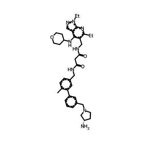 CCc1nc2c(cnn2CC)c(NC2CCOCC2)c1CNC(=O)CC(=O)NCc1ccc(C)c(-c2cccc(CN3CC[C@H](N)C3)c2)c1